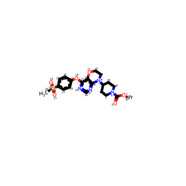 CC(C)OC(=O)N1CCC(N2CCOc3c(Oc4ccc(S(C)(=O)=O)cc4)ncnc32)CC1